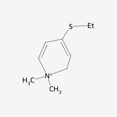 [CH2]CSC1=CC[N+](C)(C)C=C1